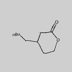 CCCCCC1[CH]C(=O)OCC1